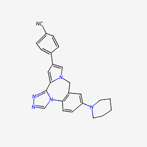 N#Cc1ccc(-c2cc3n(c2)Cc2cc(N4CCCCC4)ccc2-n2cnnc2-3)cc1